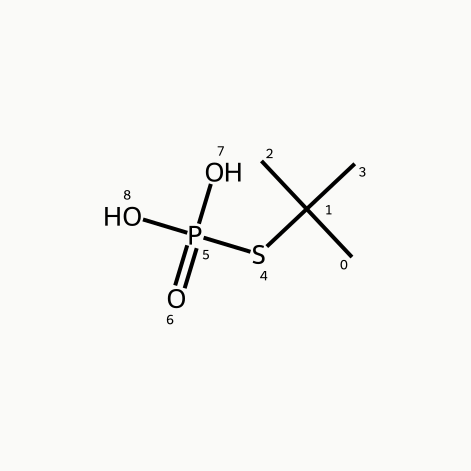 CC(C)(C)SP(=O)(O)O